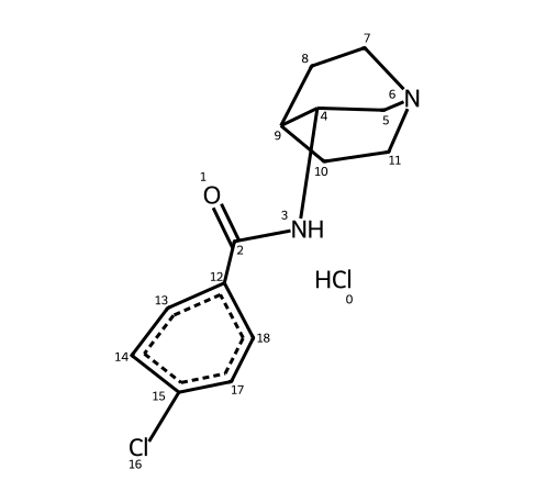 Cl.O=C(NC1CN2CCC1CC2)c1ccc(Cl)cc1